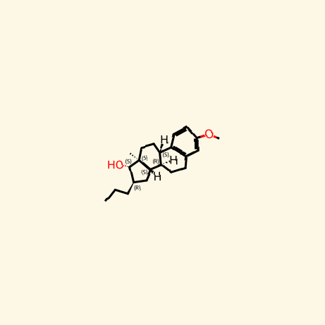 CCC[C@@H]1C[C@H]2[C@@H]3CCc4cc(OC)ccc4[C@H]3CC[C@]2(C)[C@H]1O